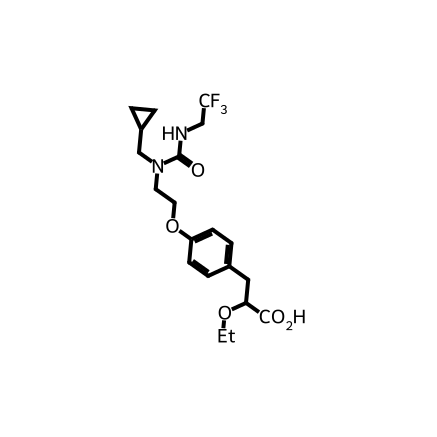 CCOC(Cc1ccc(OCCN(CC2CC2)C(=O)NCC(F)(F)F)cc1)C(=O)O